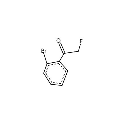 O=C(CF)c1ccccc1Br